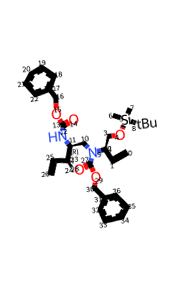 C=C[C@H](CO[Si](C)(C)C(C)(C)C)N(C[C@H](NC(=O)OCc1ccccc1)[C@@H](C)C=C)C(=O)OCc1ccccc1